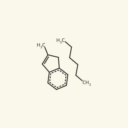 CC1=Cc2ccccc2C1.CCCCCC